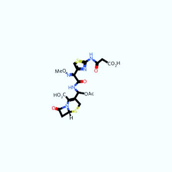 CON=C(C(=O)NC(OC(C)=O)C1=C(C(=O)O)N2C(=O)C[C@H]2SC1)c1csc(NC(=O)CC(=O)O)n1